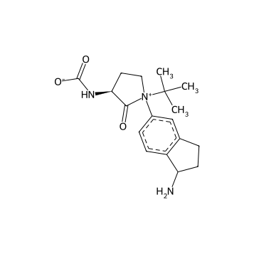 CC(C)(C)[N+]1(c2ccc3c(c2)CCC3N)CC[C@H](NC(=O)[O-])C1=O